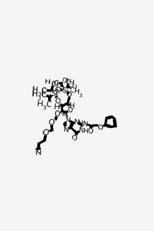 CC(C)[Si]1(C(C)C)OC[C@H]2O[C@@H](n3cnc4c(=O)[nH]c(NC(=O)COc5ccccc5)nc43)[C@@H](OCOCOCCC#N)[C@H]2O[Si](C(C)C)(C(C)C)O1